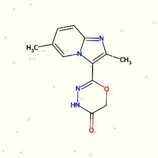 Cc1ccc2nc(C)c(C3=NNC(=O)CO3)n2c1